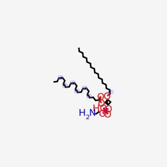 CC/C=C\C/C=C\C/C=C\C/C=C\C/C=C\C/C=C\CCC(=O)OC1C2(O/C=C\CCCCCCCCCCCCCCCC)CC1(OP(=O)(O)OCCN)C2